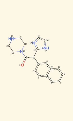 O=C(C(c1ccc2ccccc2c1)c1ncc[nH]1)N1CCNCC1